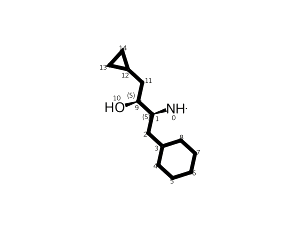 [NH][C@@H](CC1CCCCC1)[C@@H](O)CC1CC1